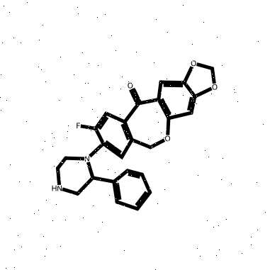 O=C1c2cc(F)c(N3CCNCC3c3ccccc3)cc2COc2cc3c(cc21)OCO3